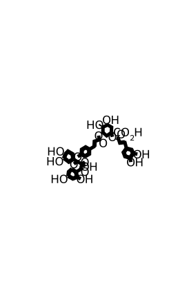 O=C(/C=C/c1ccc2c(c1)OC1(O)C(=O)c3c(O)cc(O)cc3OC1(c1ccc(O)c(O)c1)O2)O[C@@H]1C[C@@](OC(=O)/C=C/c2ccc(O)c(O)c2)(C(=O)O)C[C@@H](O)[C@@H]1O